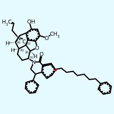 C=CCN1CC[C@]23c4c5c(O)cc(OC)c4O[C@H]2[C@@H](N(CC(c2ccccc2)c2ccccc2)C(=O)CCCCCCCCCCc2ccccc2)CC[C@H]3[C@H]1C5